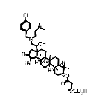 CC(C)C1=C2[C@H]3CC[C@@H]4[C@@]5(C)CC[C@H](OC(=O)C[C@@H](C)C(=O)O)C(C)(C)[C@@H]5CC[C@@]4(C)[C@]3(C)CCC2(C(O)CN(CCN(C)C)Cc2ccc(Cl)cc2)CC1=O